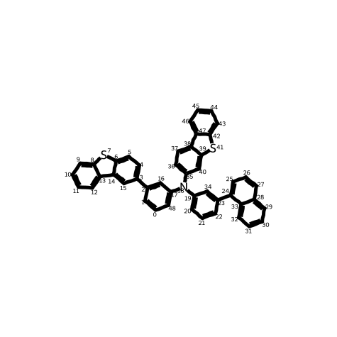 c1cc(-c2ccc3sc4ccccc4c3c2)cc(N(c2cccc(-c3cccc4ccccc34)c2)c2ccc3c(c2)sc2ccccc23)c1